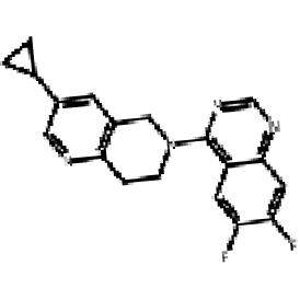 Fc1cc2ncnc(N3CCc4ncc(C5CC5)cc4C3)c2cc1F